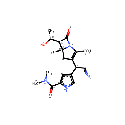 C[C@@H](O)[C@H]1C(=O)N2C(C(=O)O)=C(C(C=N)c3c[nH]c(C(=O)N(C)C)c3)C[C@H]12